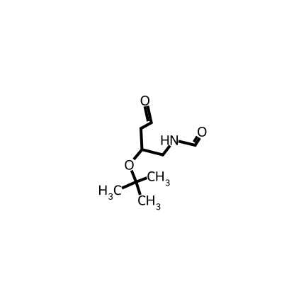 CC(C)(C)OC(CC=O)CNC=O